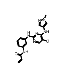 C=CC(=O)Nc1cccc(Nc2ncc(Cl)c(Nc3cnn(C)c3)n2)c1